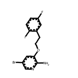 Nc1ncc(Br)cc1OCCc1cc(F)ccc1I